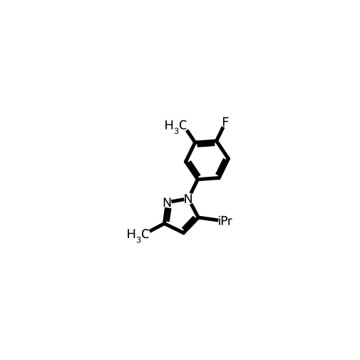 Cc1cc(C(C)C)n(-c2ccc(F)c(C)c2)n1